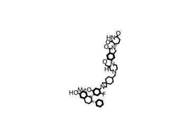 COc1cc(N2CC3(CCC(CN4CCN5c6cc7c(cc6OC[C@@H]5C4)C(=O)N([C@H]4CCC(=O)NC4=O)C7)CC3)C2)c(F)cc1[C@H]1c2ccc(O)cc2CC[C@H]1c1ccccc1